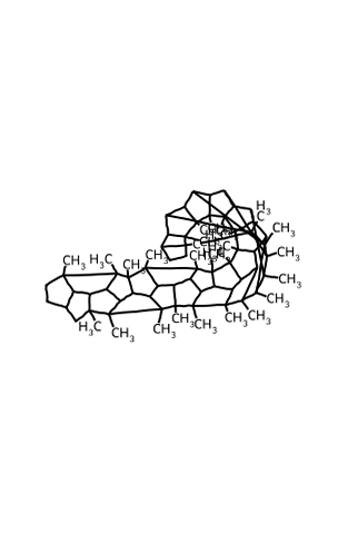 CC12CC3CCC4(C)C3C1C1C3C5C6C7C8C9C%10C%11C%12C%13C%14C%15C%16C%17C%18C%19C%20C%21C%22C%23C%24C%25C(CCC%25(C)C%23(C)C%21(C)C%19(C)C%17(C)C%15(C)C%13(C)C%11(C)C9(C)C7(C)C5(C)C14C)CC%24(C)C%22(C)C%20(C)C%18(C)C%16(C)C%14(C)C%12(C)C%10(C)C8(C)C6(C)C32C